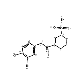 CCS(=O)(=O)N1CCCC(C(=O)Nc2ccc(Cl)c(Br)c2)C1